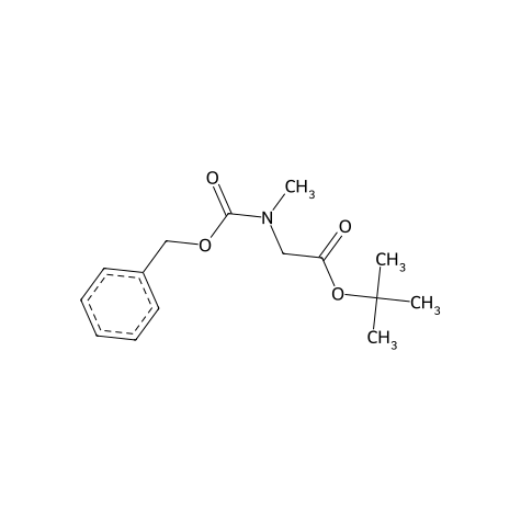 CN(CC(=O)OC(C)(C)C)C(=O)OCc1ccccc1